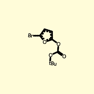 CC(C)(C)OC(=O)Oc1ccc(Br)o1